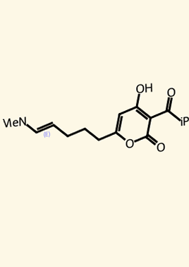 CN/C=C/CCCc1cc(O)c(C(=O)C(C)C)c(=O)o1